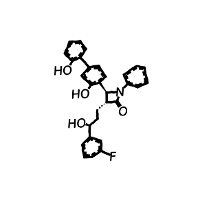 O=C1[C@H](CC[C@H](O)c2cccc(F)c2)[C@@H](c2ccc(-c3ccccc3O)cc2O)N1c1ccccc1